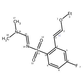 CCO/C=C/c1cc(F)ccc1S(=O)(=O)N=CN(C)C